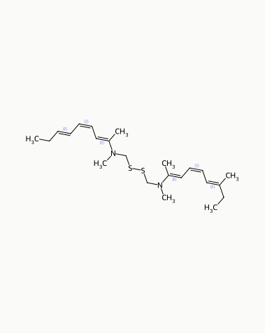 CC/C=C/C=C\C=C(/C)N(C)CSSCN(C)/C(C)=C/C=C\C=C(/C)CC